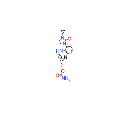 CC(CCCCOC(N)=O)Nc1c(N2CCN(C3CC3)C2=O)cccc1[N+](=O)[O-]